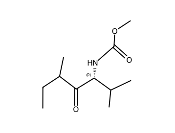 CCC(C)C(=O)[C@H](NC(=O)OC)C(C)C